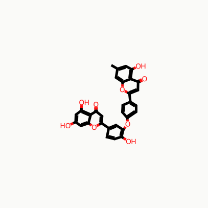 Cc1cc(O)c2c(=O)cc(-c3ccc(Oc4cc(-c5cc(=O)c6c(O)cc(O)cc6o5)ccc4O)cc3)oc2c1